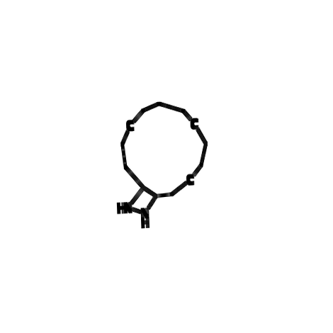 C1CCCCCC2NNC2CCCCC1